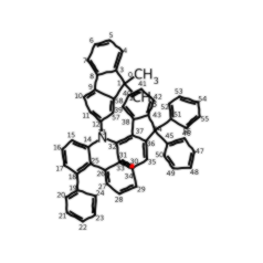 CC1(C)c2ccccc2-c2ccc(N(c3cccc(-c4ccccc4)c3-c3ccccc3)c3cccc4c3-c3ccccc3C4(c3ccccc3)c3ccccc3)cc21